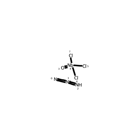 [N-]=[N+]=N.[O]=[Nb]([Cl])([Cl])[Cl]